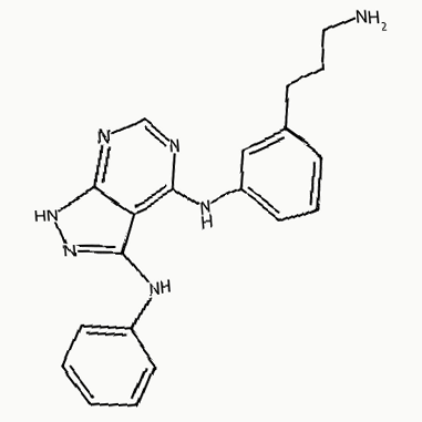 NCCCc1cccc(Nc2ncnc3[nH]nc(Nc4ccccc4)c23)c1